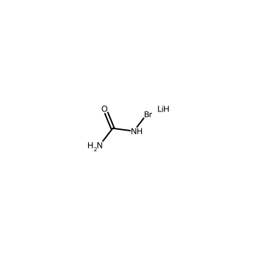 NC(=O)NBr.[LiH]